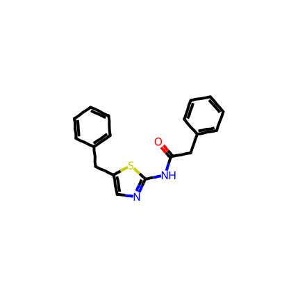 O=C(Cc1ccccc1)Nc1ncc(Cc2ccccc2)s1